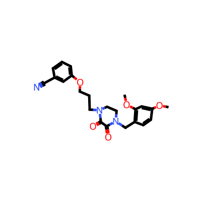 COc1ccc(CN2CCN(CCCOc3cccc(C#N)c3)C(=O)C2=O)c(OC)c1